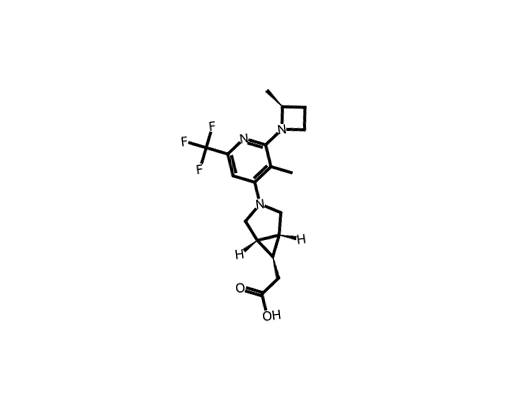 Cc1c(N2C[C@@H]3[C@@H](CC(=O)O)[C@@H]3C2)cc(C(F)(F)F)nc1N1CC[C@@H]1C